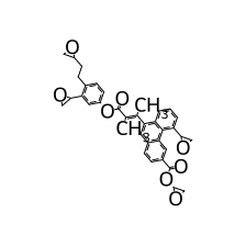 C/C(C(=O)Oc1ccc(CCC2CO2)c(C2CO2)c1)=C(/C)c1cc2ccc(C(=O)OC3CO3)cc2c2c(C3CO3)cccc12